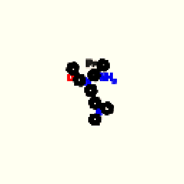 CC(C)c1ccccc1-c1ccc(N(c2ccc(-c3ccc4c(c3)c3c(n4-c4ccccc4)CCC=C3)cc2)c2ccc3oc4ccccc4c3c2)cc1N